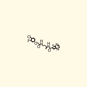 C=C(CCNC(=O)COc1ccc(Cl)c(F)c1)NC(=O)c1cc2nccnc2s1